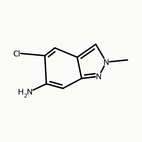 Cn1cc2cc(Cl)c(N)cc2n1